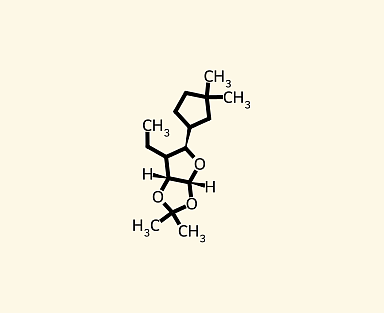 CCC1[C@@H](C2CCC(C)(C)C2)O[C@@H]2OC(C)(C)O[C@H]12